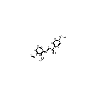 COc1ccc(C(=O)/C=C/c2cccc(OC)c2OC)cc1